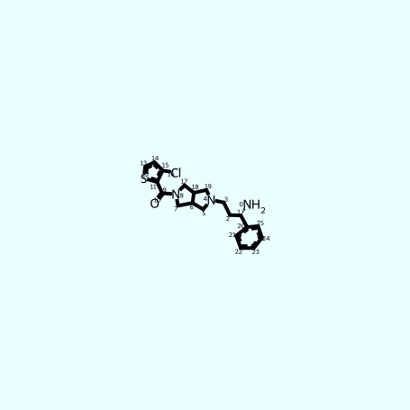 N[C@@H](CCN1CC2CN(C(=O)c3sccc3Cl)CC2C1)c1ccccc1